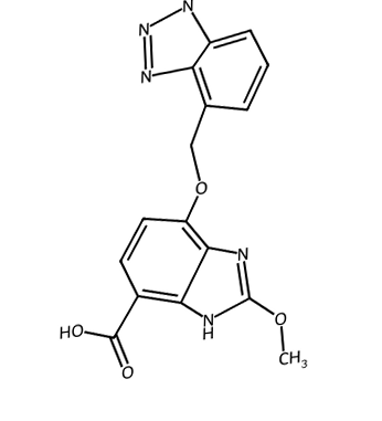 COc1nc2c(OCc3cccc4[nH]nnc34)ccc(C(=O)O)c2[nH]1